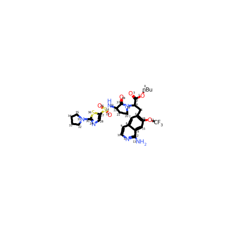 CCCCOC(=O)C(Cc1cc2ccnc(N)c2cc1OC(F)(F)F)N1CCC(NS(=O)(=O)c2cnc(N3CCCC3)s2)C1=O